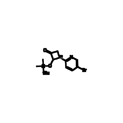 CC(C)(C)[Si](C)(C)OC1C(=O)C[C@@H]1c1ccc(Br)cn1